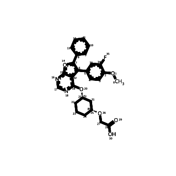 COc1ccc(-c2c(-c3ccccc3)oc3ncnc(O[C@H]4CCC[C@@H](OCC(=O)O)C4)c23)cc1F